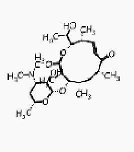 C[C@@H]1C[C@H](N(C)C)[C@@H](O)[C@H](O[C@H]2[C@@H](C)C[C@@H](C)C(=O)/C=C/[C@@H](C)[C@@H]([C@@H](C)O)OC(=O)[C@@H]2C)O1